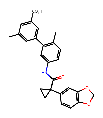 Cc1cc(C(=O)O)cc(-c2cc(NC(=O)C3(c4ccc5c(c4)OCO5)CC3)ccc2C)c1